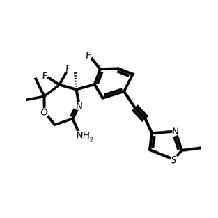 Cc1nc(C#Cc2ccc(F)c([C@@]3(C)N=C(N)COC(C)(C)C3(F)F)c2)cs1